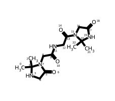 CC1(C)NCC(=O)N1CC(=O)NCC(=O)N1CC(=O)NC1(C)C